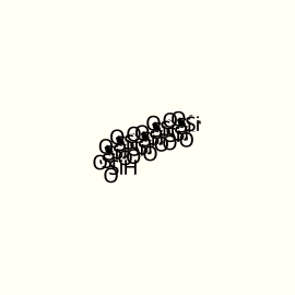 C[Si](C)(C)[Si](=O)[Si](=O)[Si](=O)[Si](=O)[Si](=O)[Si](=O)[Si](=O)[Si](=O)[Si](=O)[Si](=O)[Si](=O)[Si](=O)[Si](=O)[Si](=O)[SiH]=O